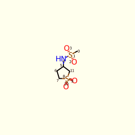 CS(=O)(=O)NC1CCS(=O)(=O)C1